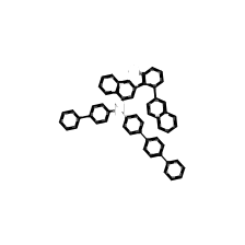 c1ccc(-c2ccc(-c3ccc(N(c4ccc(-c5ccccc5)cc4)c4cc5c(oc6cccc(-c7ccc8ccccc8c7)c65)c5ccccc45)cc3)cc2)cc1